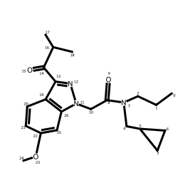 CCCN(CC1CC1)C(=O)Cn1nc(C(=O)C(C)C)c2ccc(OC)cc21